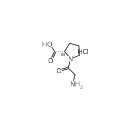 Cl.NCC(=O)N1CCC[C@H]1C(=O)O